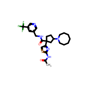 CC(=O)Nc1nc(C2(C(=O)NCc3cncc(C(F)(F)F)c3)CCC(N3CCCCCCC3)C2)cs1